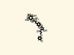 CC/C(=C\COc1cccc(Cl)c1)[C@H]1O[C@@H](Oc2ccc(/C=C(\C)C(=O)N[C@@H]3[C@H](O)[C@@H](O)[C@H]4OCO[C@H]4[C@@H]3O)cc2O)C[C@@H]1O